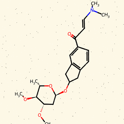 CO[C@H]1[C@H](C)O[C@@H](OC2Cc3ccc(C(=O)/C=C/N(C)C)cc3C2)C[C@@H]1OC